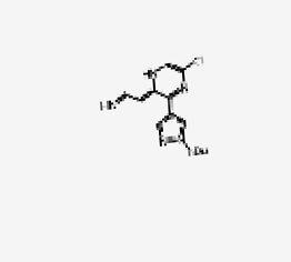 CCCCn1cc(C2=NC(Cl)=CN/C2=C\C=N)cn1